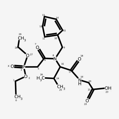 CCOP(=O)(CC(=O)N(Cc1ccccc1)C(C(=O)NCC(=O)O)C(C)C)OCC